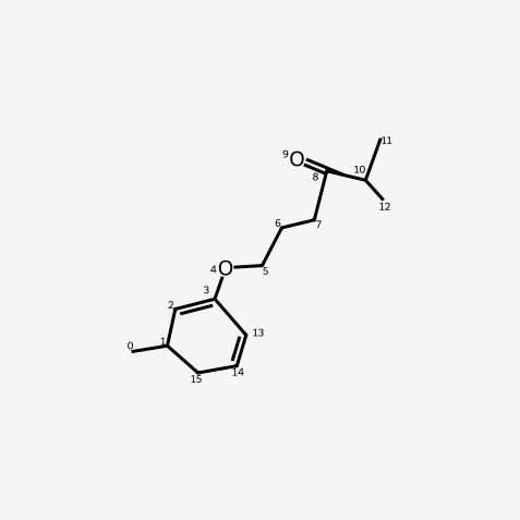 CC1C=C(OCCCC(=O)C(C)C)C=CC1